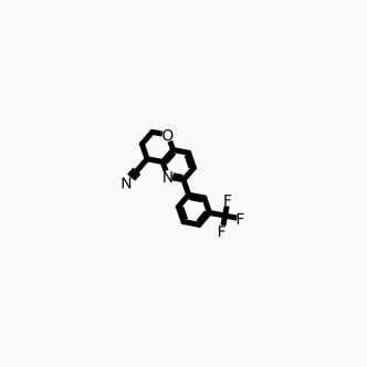 N#CC1CCOc2ccc(-c3cccc(C(F)(F)F)c3)nc21